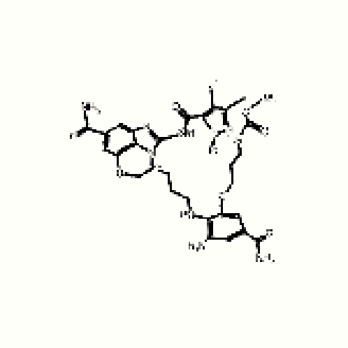 CCn1nc(C)c(Cl)c1C(=O)Nc1nc2cc(C(N)=O)cc3c2n1[C@@H](CCCNc1c(N)cc(C(N)=O)cc1OCCCNC(=O)OC(C)(C)C)CO3